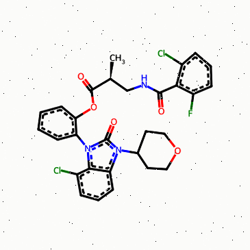 C[C@@H](CNC(=O)c1c(F)cccc1Cl)C(=O)Oc1ccccc1-n1c(=O)n(C2CCOCC2)c2cccc(Cl)c21